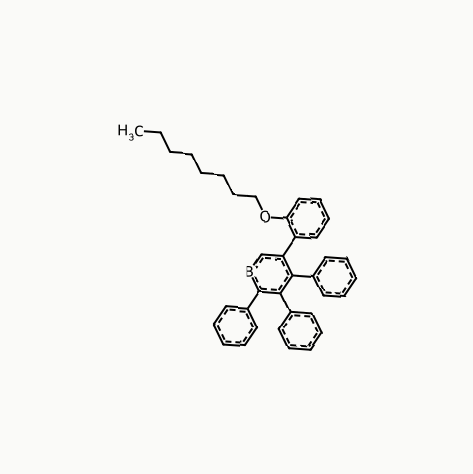 CCCCCCCCOc1ccccc1-c1cbc(-c2ccccc2)c(-c2ccccc2)c1-c1ccccc1